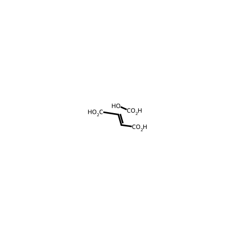 O=C(O)C=CC(=O)O.O=C(O)O